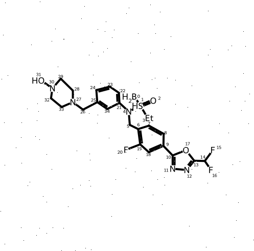 B[SH](=O)(CC)N(Cc1ccc(-c2nnc(C(F)F)o2)cc1F)c1cccc(CN2CCN(O)CC2)c1